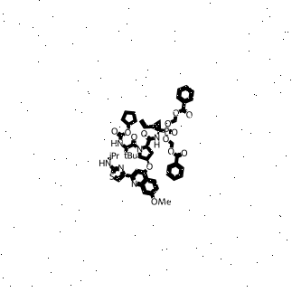 C=CC1C[C@]1(NC(=O)C1C[C@@H](Oc2cc(-c3csc(NC(C)C)n3)nc3cc(OC)ccc23)CN1C(=O)C(NC(=O)OC1CCCC1)C(C)(C)C)P(=O)(OCOC(=O)c1ccccc1)OCOC(=O)c1ccccc1